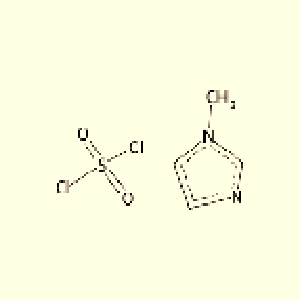 Cn1ccnc1.O=S(=O)(Cl)Cl